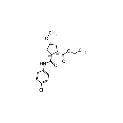 CCOC(=O)[C@H]1C[C@@H](OC)C[C@@H]1C(=O)Nc1ccc(Cl)cc1